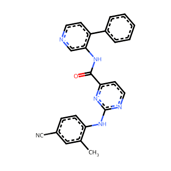 Cc1cc(C#N)ccc1Nc1nccc(C(=O)Nc2cnccc2-c2ccccc2)n1